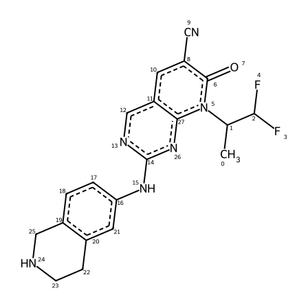 CC(C(F)F)n1c(=O)c(C#N)cc2cnc(Nc3ccc4c(c3)CCNC4)nc21